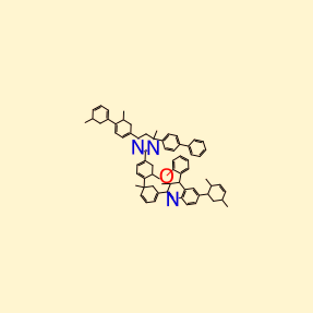 CC1C=CC=C(C2=CC=C(C3=NC(C4=CC=C(C5(C)C=CC=C(C6=Nc7ccc(C8CC(C)C=CC8C)cc7C7c8ccccc8OC67C)C5)C(C)C4)=NC(C)(c4ccc(-c5ccccc5)cc4)C3)CC2C)C1